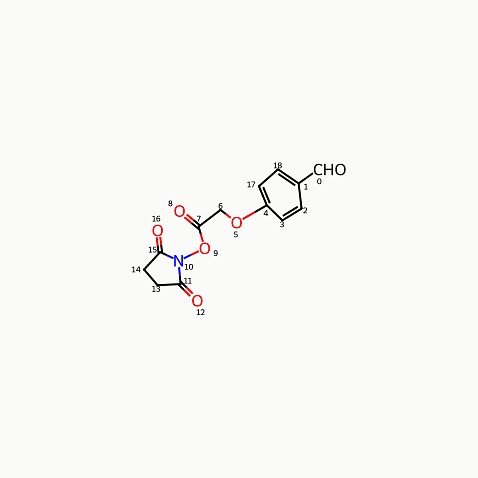 O=Cc1ccc(OCC(=O)ON2C(=O)CCC2=O)cc1